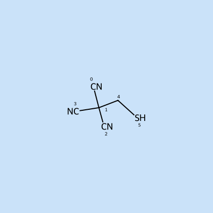 N#CC(C#N)(C#N)CS